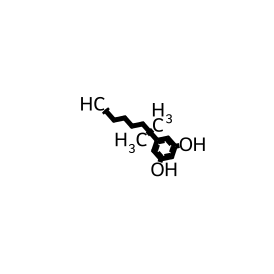 C#CCCCCC(C)(C)c1cc(O)cc(O)c1